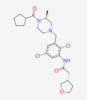 C[C@H]1CN(Cc2cc(Cl)cc(NC(=O)C[C@@H]3CCOC3)c2Cl)CCN1C(=O)C1CCCC1